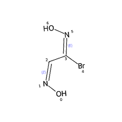 O/N=C\C(Br)=N/O